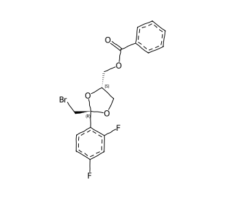 O=C(OC[C@@H]1CO[C@](CBr)(c2ccc(F)cc2F)O1)c1ccccc1